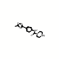 Cc1nc(-c2ccc(NC(=O)N3CCNCC3)cc2)no1